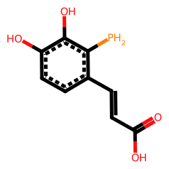 O=C(O)C=Cc1ccc(O)c(O)c1P